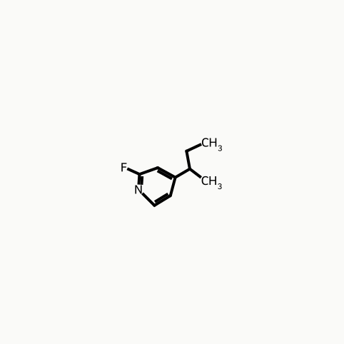 CCC(C)c1ccnc(F)c1